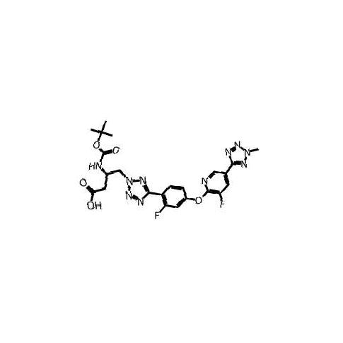 Cn1nnc(-c2cnc(Oc3ccc(-c4nnn(CC(CC(=O)O)NC(=O)OC(C)(C)C)n4)c(F)c3)c(F)c2)n1